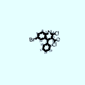 O=C(Cl)c1c(Cl)nc2ccc(Br)cc2c1-c1ccccc1